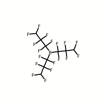 FC(F)C(F)(F)C(F)(F)B(C(F)(F)C(F)(F)C(F)F)C(F)(F)C(F)(F)C(F)F